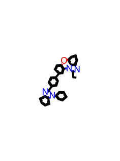 CCc1nc2cccc3c2n1-c1cc(-c2ccc(-c4nc5ccccc5n4-c4ccccc4)cc2)ccc1O3